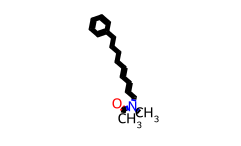 CC(=O)N(C)C/C=C/C=C/CCCCc1ccccc1